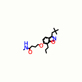 CCCc1c(OCCCC(=O)NC)ccc2c(CC(C)(C)C)noc12